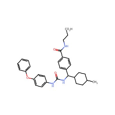 CC1CCC(C(NC(=O)Nc2ccc(Oc3ccccc3)cc2)c2ccc(C(=O)NCCC(=O)O)cc2)CC1